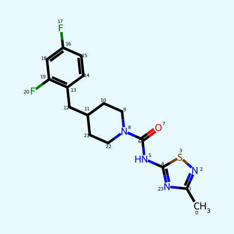 Cc1nsc(NC(=O)N2CCC(Cc3ccc(F)cc3F)CC2)n1